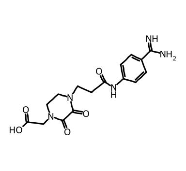 N=C(N)c1ccc(NC(=O)CCN2CCN(CC(=O)O)C(=O)C2=O)cc1